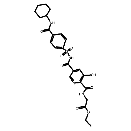 CCOC(=O)CNC(=O)c1ncc(C(=O)NS(=O)(=O)c2ccc(C(=O)NC3CCCCC3)cc2)cc1O